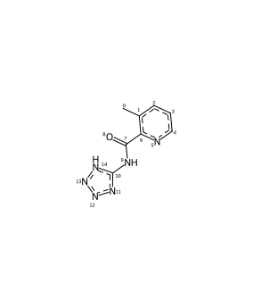 Cc1cccnc1C(=O)Nc1nnn[nH]1